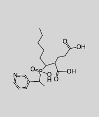 CCCCCC(C(CCC(=O)O)C(=O)O)P(=O)(O)C(C)c1cccnc1